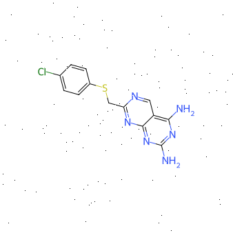 Nc1nc(N)c2cnc(CSc3ccc(Cl)cc3)nc2n1